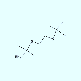 B.CC(C)(C)SCCSC(C)(C)C